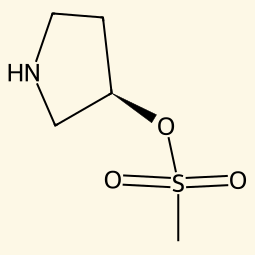 CS(=O)(=O)O[C@@H]1CCNC1